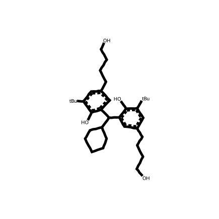 CC(C)(C)c1cc(CCCCO)cc(C(c2cc(CCCCO)cc(C(C)(C)C)c2O)C2CCCCC2)c1O